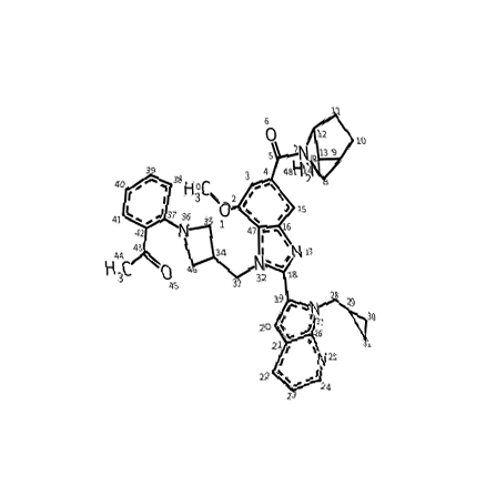 COc1cc(C(=O)N2CC3CCC2[C@@H]3N)cc2nc(-c3cc4cccnc4n3CC3CC3)n(CC3CN(c4ccccc4C(C)=O)C3)c12